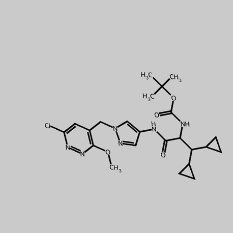 COc1nnc(Cl)cc1Cn1cc(NC(=O)C(NC(=O)OC(C)(C)C)C(C2CC2)C2CC2)cn1